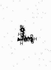 O=C1NC(=O)/C(=C/c2cnn3c(NC4CC4)nc(NCc4ccc(Br)cc4)nc23)N1